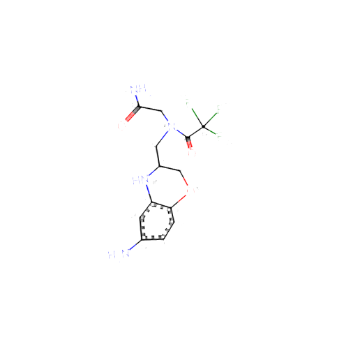 NC(=O)CN(CC1COc2ccc(N)cc2N1)C(=O)C(F)(F)F